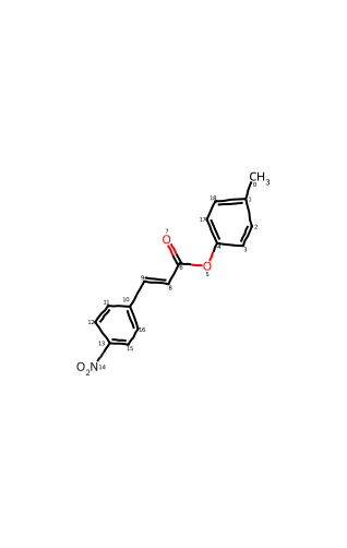 Cc1ccc(OC(=O)/C=C/c2ccc([N+](=O)[O-])cc2)cc1